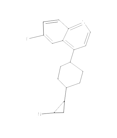 NC1CC1C1CCC(c2ccnc3ccc(F)cc23)CC1